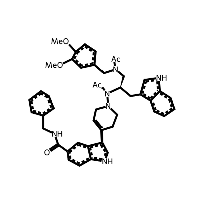 COc1ccc(CN(C[C@@H](Cc2c[nH]c3ccccc23)N(C(C)=O)N2CC=C(c3c[nH]c4ccc(C(=O)NCc5ccccc5)cc34)CC2)C(C)=O)cc1OC